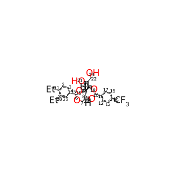 CCc1ccc(C2OC[C@@H]3OC(c4ccc(C(F)(F)F)cc4)O[C@H]([C@H](O)CO)[C@@H]3O2)cc1CC